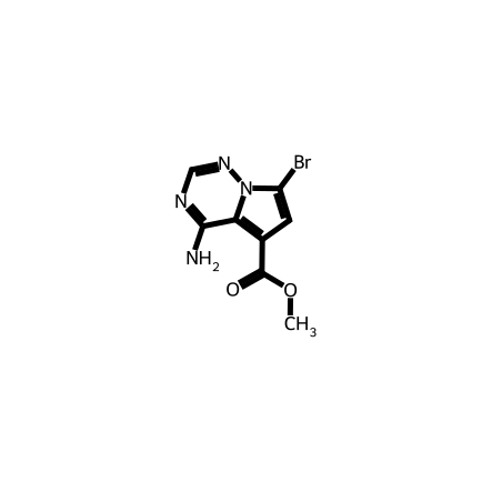 COC(=O)c1cc(Br)n2ncnc(N)c12